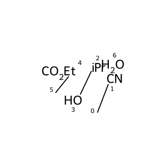 CC#N.CC(C)O.CCOC(C)=O.O